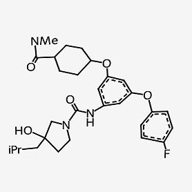 CNC(=O)C1CCC(Oc2cc(NC(=O)N3CCC(O)(CC(C)C)C3)cc(Oc3ccc(F)cc3)c2)CC1